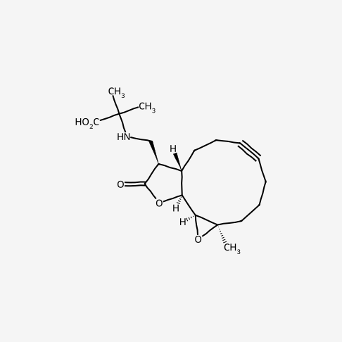 CC(C)(NC[C@@H]1C(=O)O[C@H]2[C@H]1CCC#CCCC[C@@]1(C)O[C@@H]21)C(=O)O